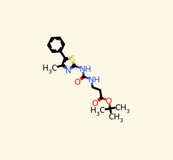 Cc1nc(NC(=O)NCCC(=O)OC(C)(C)C)sc1-c1ccccc1